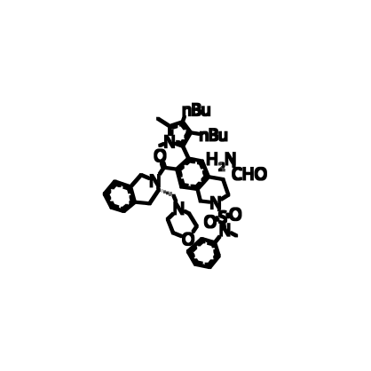 CCCCc1c(CCCC)c(-c2cc3c(cc2C(=O)N2Cc4ccccc4C[C@H]2CN2CCOCC2)CN(S(=O)(=O)N(C)c2ccccc2)CC3)n(C)c1C.NC=O